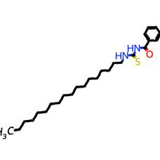 CCCCCCCCCCCCCCCCCCNC(=S)NC(=O)c1ccccc1